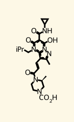 Cc1nn2c(O)c(C(=O)NC3CC3)c(=O)n(CC(C)C)c2c1/C=C/C(=O)N1CCN(C(=O)O)C[C@@H]1C